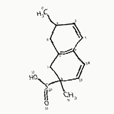 CC1C=CC2=C(C1)CC(C)(S(=O)O)C=C2